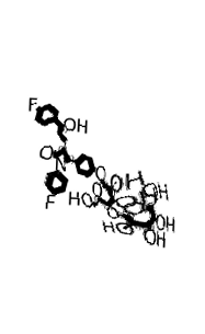 O=C1[C@H](CC[C@H](O)c2ccc(F)cc2)[C@@H](c2ccc(O[C@@H]3O[C@H](CO)[C@@H](O[C@@H]4O[C@H](CO)[C@@H](O)[C@H](O)[C@H]4O)[C@H](O)[C@H]3O)cc2)N1c1ccc(F)cc1